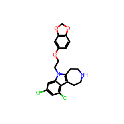 Clc1cc(Cl)c2c3c(n(CCOc4ccc5c(c4)OCO5)c2c1)CCNCC3